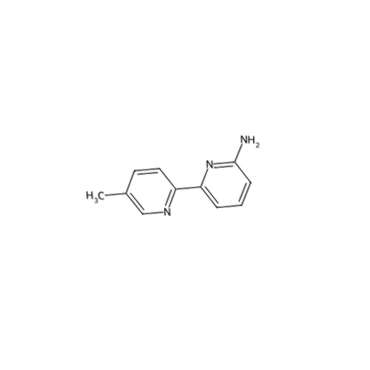 Cc1ccc(-c2cccc(N)n2)nc1